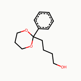 OCCCCC1(c2ccccc2)OCCCO1